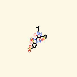 CC(C)CCn1nc(-c2cccs2)c(O)c(C2=NS(=O)(=O)c3cc(CS(C)(=O)=O)ccc3N2)c1=O